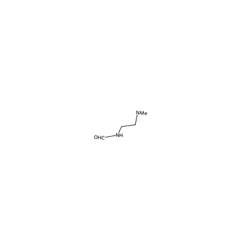 CNCCNC=O